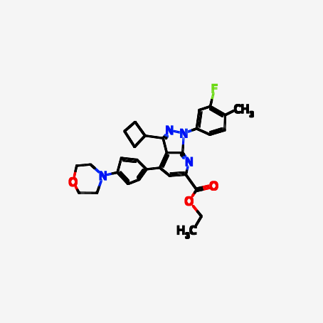 CCOC(=O)c1cc(-c2ccc(N3CCOCC3)cc2)c2c(C3CCC3)nn(-c3ccc(C)c(F)c3)c2n1